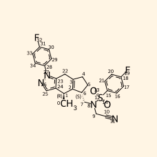 C[C@@H]1C2=C(CC[C@@H]2CN(CC#N)S(=O)(=O)c2ccc(F)cc2)Cc2c1cnn2-c1ccc(F)cc1